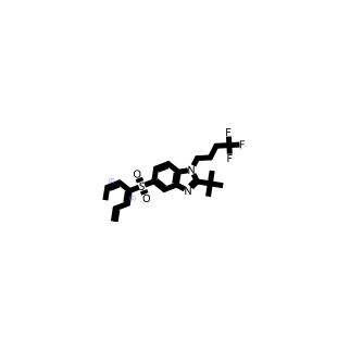 C=C/C=C(\C=C/C)S(=O)(=O)c1ccc2c(c1)nc(C(C)(C)C)n2CCCC(F)(F)F